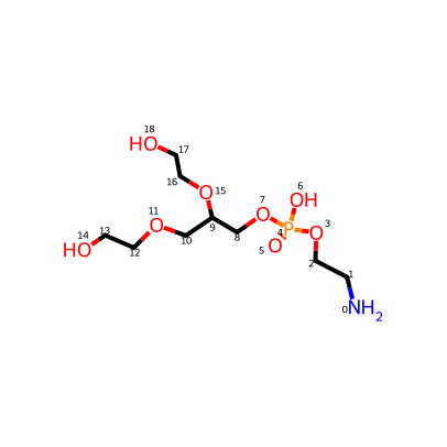 NCCOP(=O)(O)OCC(COCCO)OCCO